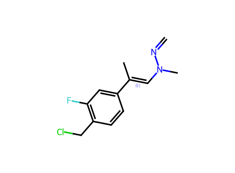 C=NN(C)/C=C(\C)c1ccc(CCl)c(F)c1